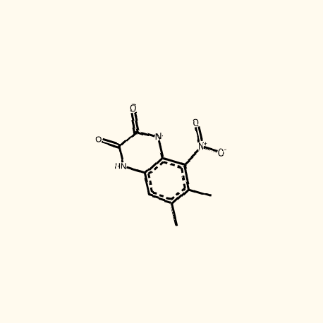 Cc1cc2c(c([N+](=O)[O-])c1C)[N]C(=O)C(=O)N2